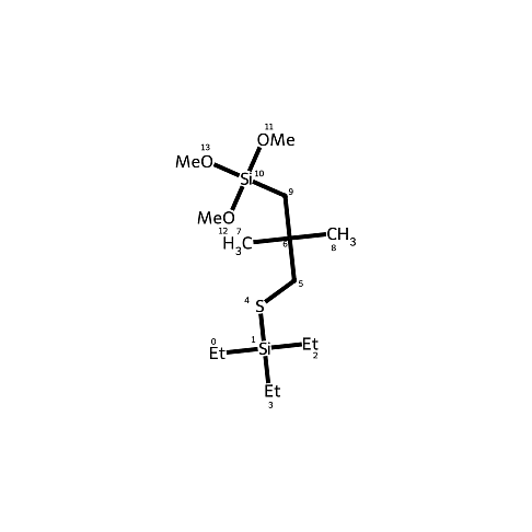 CC[Si](CC)(CC)SCC(C)(C)C[Si](OC)(OC)OC